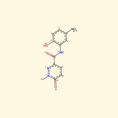 Cn1nc(C(=O)Nc2cc([N+](=O)[O-])ccc2O)ccc1=O